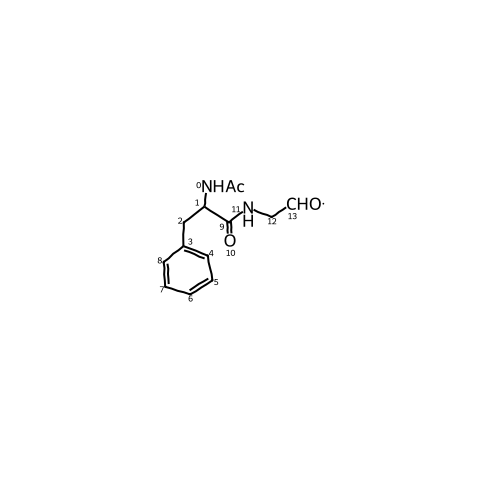 CC(=O)NC(Cc1ccccc1)C(=O)NC[C]=O